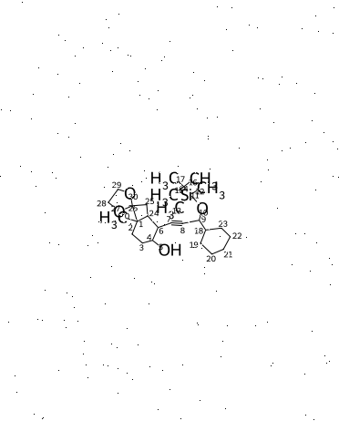 CC12CCC(O)C(C#CC(O[Si](C)(C)C(C)(C)C)C3CCCCC3)C1CC21OCCO1